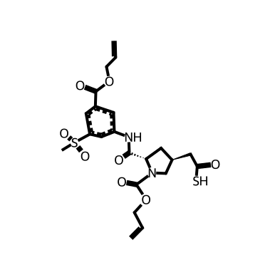 C=CCOC(=O)c1cc(NC(=O)[C@@H]2C[C@@H](CC(=O)S)CN2C(=O)OCC=C)cc(S(C)(=O)=O)c1